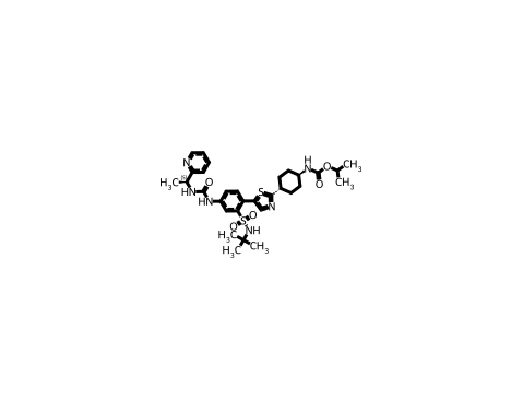 CC(C)OC(=O)N[C@H]1CC[C@H](c2ncc(-c3ccc(NC(=O)N[C@@H](C)c4ccccn4)cc3S(=O)(=O)NC(C)(C)C)s2)CC1